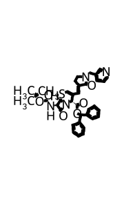 CC(C)(C)OC(=O)N[C@@H]1C(=O)N2[C@@H](C(=O)OC(c3ccccc3)c3ccccc3)C(/C=C3\CCN(Cc4cccnc4)C3=O)=CS[C@H]12